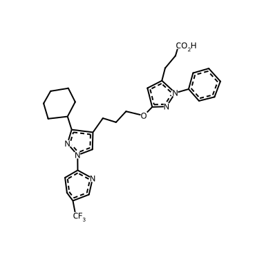 O=C(O)CCc1cc(OCCCc2cn(-c3ccc(C(F)(F)F)cn3)nc2C2CCCCC2)nn1-c1ccccc1